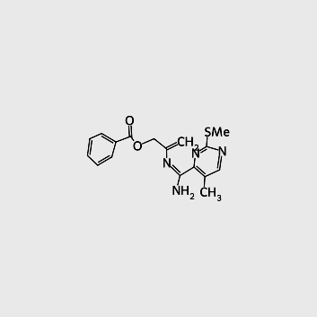 C=C(COC(=O)c1ccccc1)/N=C(/N)c1nc(SC)ncc1C